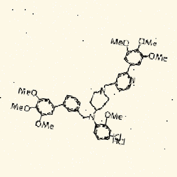 COc1ccccc1N(Cc1cccc(-c2cc(OC)c(OC)c(OC)c2)c1)C1CCN(Cc2ccnc(-c3cc(OC)c(OC)c(OC)c3)c2)CC1.Cl.Cl